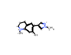 CCc1cc2c(cc1-c1cnn(C)c1)CCCN2C(C)C